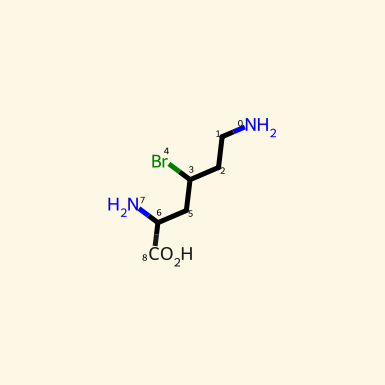 NCCC(Br)CC(N)C(=O)O